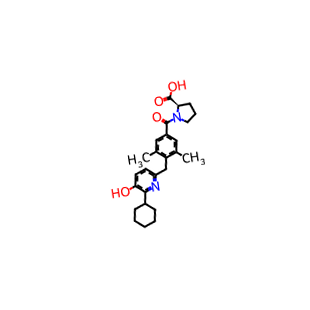 Cc1cc(C(=O)N2CCC[C@@H]2C(=O)O)cc(C)c1Cc1ccc(O)c(C2CCCCC2)n1